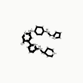 Clc1cnc(N[C@H]2CC[C@H](NC[C@H]3CCCO3)CC2)cc1-c1cccc(NCC2CCOCC2)n1